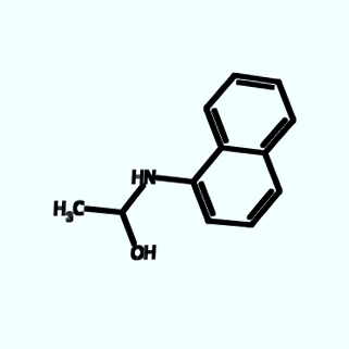 CC(O)Nc1cccc2ccccc12